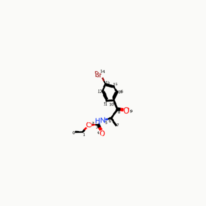 CCOC(=O)NC(C)C(=O)c1ccc(Br)cc1